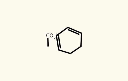 C1=CCCC=C1.CC(=O)O